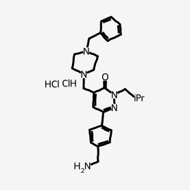 CC(C)Cn1nc(-c2ccc(CN)cc2)cc(CN2CCN(Cc3ccccc3)CC2)c1=O.Cl.Cl